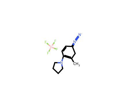 CC1=C(N2CCCC2)C=CC(=[N+]=[N-])C1.F[B-](F)(F)F